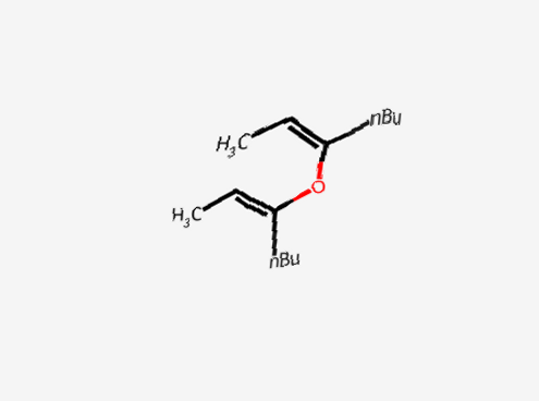 CC=C(CCCC)OC(=CC)CCCC